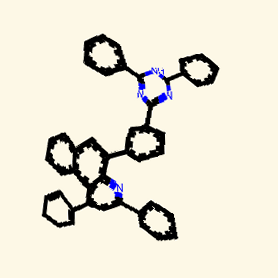 C1=CC(c2cc(-c3ccccc3)nc3c(-c4cccc(C5=NC(c6ccccc6)NC(c6ccccc6)=N5)c4)cc4ccccc4c23)=CCC1